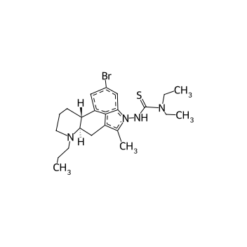 CCCN1CCC[C@@H]2c3cc(Br)cc4c3c(c(C)n4NC(=S)N(CC)CC)C[C@H]21